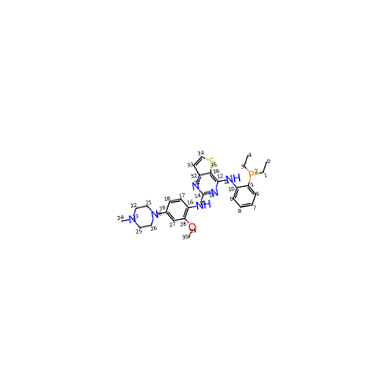 CCP(CC)c1ccccc1Nc1nc(Nc2ccc(N3CCN(C)CC3)cc2OC)nc2ccsc12